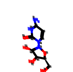 NC1C=CN(N2O[C@H](CO)[C@@H](O)[C@H]2O)C(=O)N1